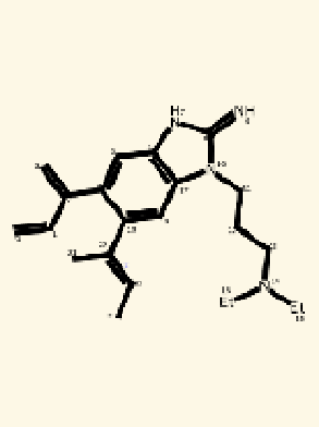 C=CC(=C)c1cc2[nH]c(=N)n(CCCN(CC)CC)c2cc1/C(C)=C/C